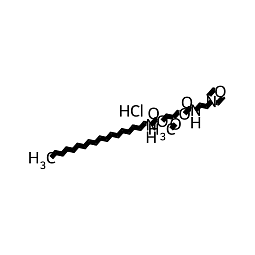 CCCCCCCCCCCCCCCCCCNC(=O)OCC(COC(=O)NCCN1CCOCC1)OC.Cl